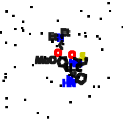 CCN(CC)CCCOc1cc(NC(=O)c2sccc2C)c(C=Cc2n[nH]c3ccccc23)cc1OC